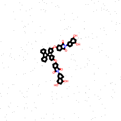 O=C1c2ccc(Oc3ccc(C4(c5ccc(Oc6ccc7c(c6)C(=O)N(c6ccc8c(O)cc(O)cc8c6)C7=O)cc5)c5ccccc5-c5ccccc54)cc3)cc2C(=O)N1c1ccc2c(O)cc(O)cc2c1